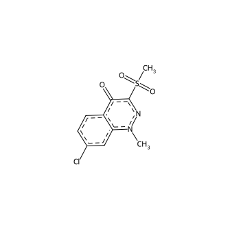 Cn1nc(S(C)(=O)=O)c(=O)c2ccc(Cl)cc21